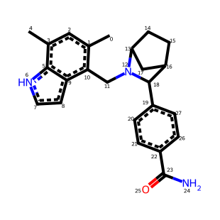 Cc1cc(C)c2[nH]ccc2c1CN1C2CCC(C2)C1c1ccc(C(N)=O)cc1